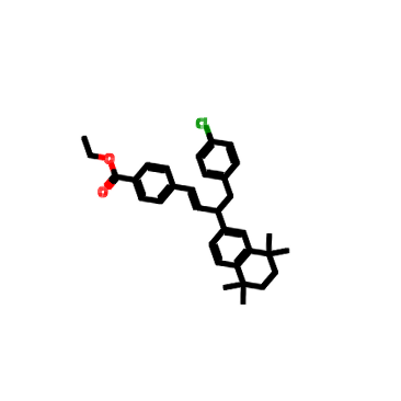 CCOC(=O)c1ccc(/C=C/C(Cc2ccc(Cl)cc2)c2ccc3c(c2)C(C)(C)CCC3(C)C)cc1